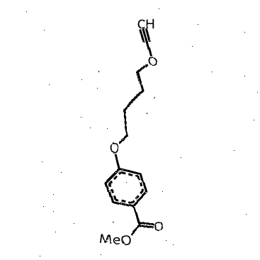 C#COCCCCOc1ccc(C(=O)OC)cc1